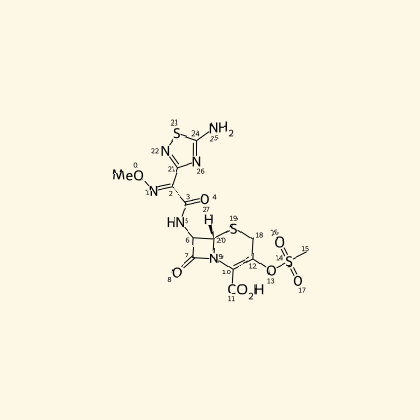 CON=C(C(=O)NC1C(=O)N2C(C(=O)O)=C(OS(C)(=O)=O)CS[C@@H]12)c1nsc(N)n1